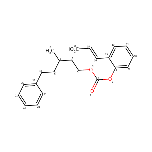 CC(CCOC(=O)Oc1ccccc1C=CC(=O)O)CCc1ccccc1